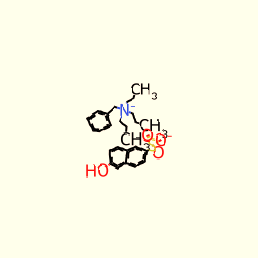 CCC[N+](CCC)(CCC)Cc1ccccc1.O=S(=O)([O-])c1ccc2cc(O)ccc2c1